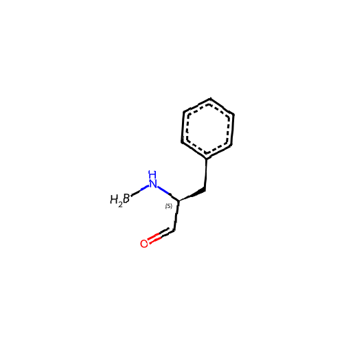 BN[C@H](C=O)Cc1ccccc1